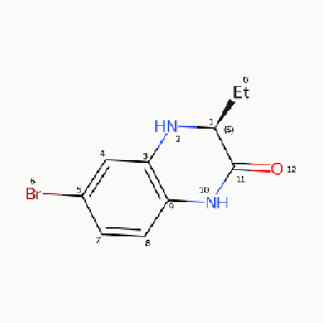 CC[C@@H]1Nc2cc(Br)ccc2NC1=O